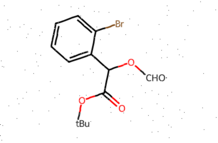 CC(C)(C)OC(=O)C(O[C]=O)c1ccccc1Br